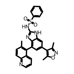 Cc1ccc2ncccc2c1-c1cc(-c2c(C)noc2C)cc2[nH]c(NS(=O)(=O)c3ccccc3)nc12